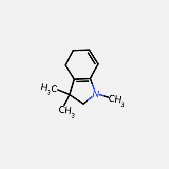 CN1CC(C)(C)C2=C1C=CCC2